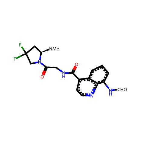 CN[C@@H]1CC(F)(F)CN1C(=O)CNC(=O)c1ccnc2c(NC=O)cccc12